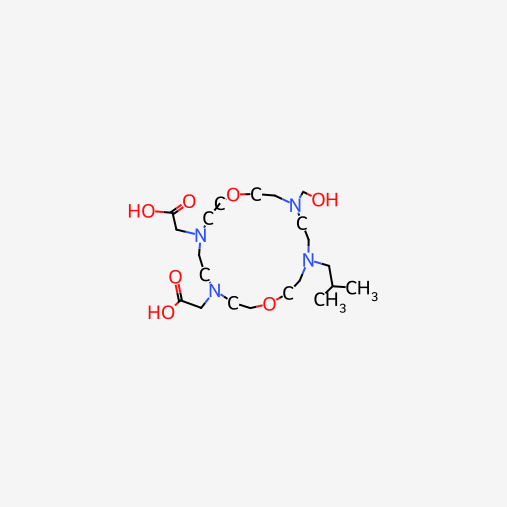 CC(C)CN1CCOCCN(CC(=O)O)CCN(CC(=O)O)CCOCCN(CO)CC1